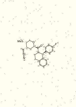 CS[C@@H]1CO[C@@H](C(=O)N2CCc3ccccc3[C@@H]2c2ccc(F)cc2)C[C@@H]1N=[N+]=[N-]